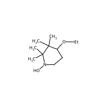 CCOC1CCN(O)C(C)(C)C1(C)C